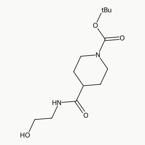 CC(C)(C)OC(=O)N1CCC(C(=O)NCCO)CC1